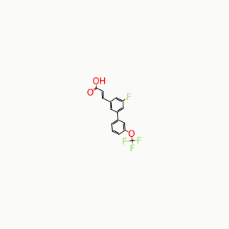 O=C(O)C=Cc1cc(F)cc(-c2cccc(OC(F)(F)F)c2)c1